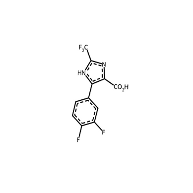 O=C(O)c1nc(C(F)(F)F)[nH]c1-c1ccc(F)c(F)c1